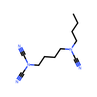 CCCCN(C#N)CCCCN(C#N)C#N